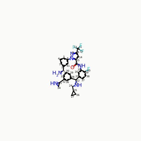 NCc1cccc(-n2nc(C(F)(F)F)cc2C(=O)Nc2cc(C(NCC3CC3)c3cccc(C4CN4)c3)ccc2F)c1